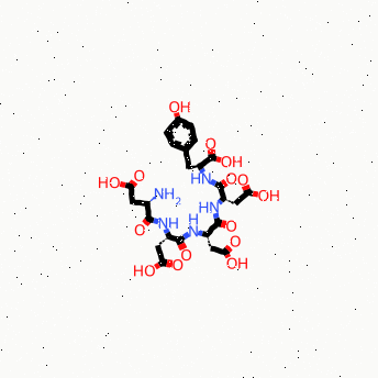 N[C@@H](CC(=O)O)C(=O)N[C@@H](CC(=O)O)C(=O)N[C@@H](CC(=O)O)C(=O)N[C@@H](CC(=O)O)C(=O)N[C@@H](Cc1ccc(O)cc1)C(=O)O